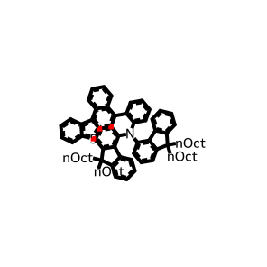 CCCCCCCCC1(CCCCCCCC)c2ccccc2-c2c(N(c3ccccc3-c3cc4sc5ccccc5c4c4ccccc34)c3cccc4c3-c3ccccc3C4(CCCCCCCC)CCCCCCCC)cccc21